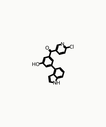 O=C(c1ccc(Cl)nc1)c1cc(O)cc(-c2cccc3[nH]ccc23)c1